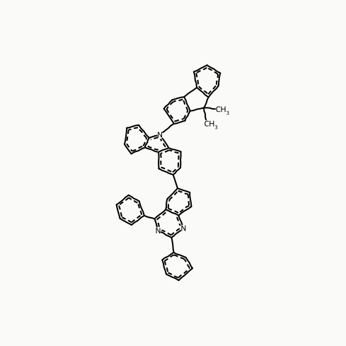 CC1(C)c2ccccc2-c2ccc(-n3c4ccccc4c4cc(-c5ccc6nc(-c7ccccc7)nc(-c7ccccc7)c6c5)ccc43)cc21